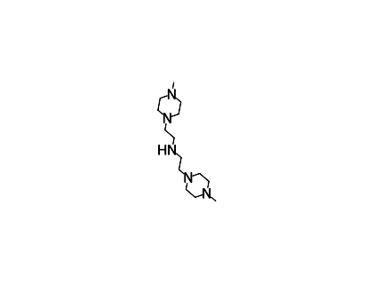 CN1CCN(CCNCCN2CCN(C)CC2)CC1